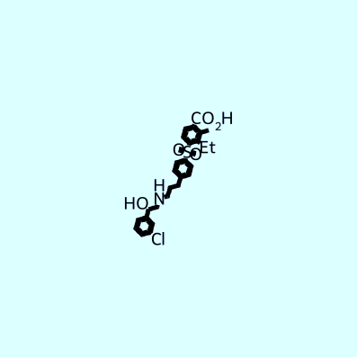 CCc1c(S(=O)(=O)c2ccc(CCCNCC(O)c3cccc(Cl)c3)cc2)ccc(C(=O)O)c1C